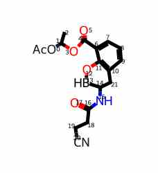 CC(=O)OC(C)OC(=O)c1cccc2c1OBC(NC(=O)CCC#N)C2